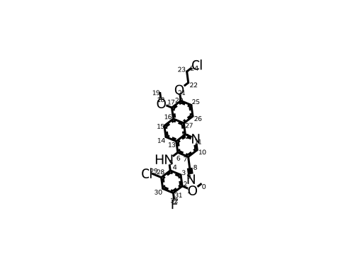 COc1cc(Nc2c(C#N)cnc3c2ccc2c(OC)c(OCCCl)ccc23)c(Cl)cc1F